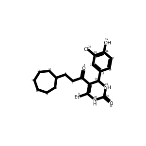 CCC1=C(C(=O)CCC2CCCCCC2)C(c2ccc(O)c(Cl)c2)NC(=O)N1